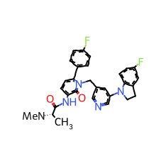 CN[C@@H](C)C(=O)Nc1ccc(-c2ccc(F)cc2)n(Cc2cncc(N3CCc4cc(F)ccc43)c2)c1=O